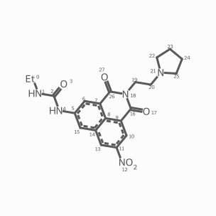 CCNC(=O)Nc1cc2c3c(cc([N+](=O)[O-])cc3c1)C(=O)N(CCN1CCCC1)C2=O